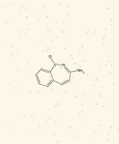 NC1=N[S+]([O-])c2ccccc2C=C1